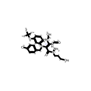 NN(CCCO)C(=O)/C(=C(\NC=O)NCO)N(Cc1ccc(Cl)cc1)c1cccc(OC(F)(F)F)c1